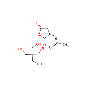 CC(C)=CC1CC(=O)OC1=O.OCC(CO)(CO)CO